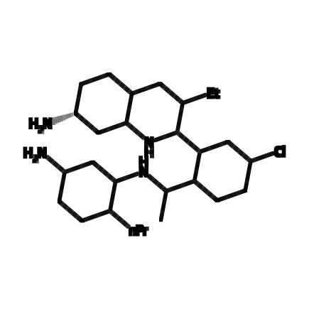 CCCC1CCC(N)CC1NC(C)C1CCC(Cl)CC1C1NC2C[C@H](N)CCC2CC1CC